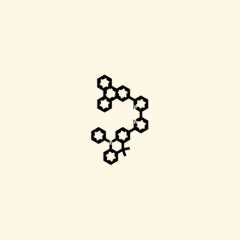 CC1(C)c2ccccc2N(c2ccccc2)c2ccc(-c3cccc(-c4cccc(-c5ccc6c7ccccc7c7ccccc7c6c5)n4)n3)cc21